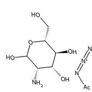 CC(=O)N=[N+]=[N-].N[C@@H]1C(O)O[C@H](CO)[C@@H](O)[C@@H]1O